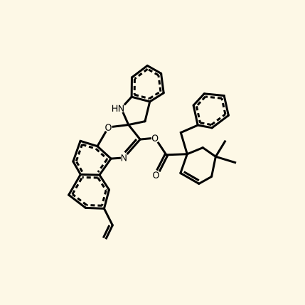 C=Cc1ccc2ccc3c(c2c1)N=C(OC(=O)C1(Cc2ccccc2)C=CCC(C)(C)C1)C1(Cc2ccccc2N1)O3